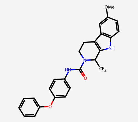 COc1ccc2[nH]c3c(c2c1)CCN(C(=O)Nc1ccc(Oc2ccccc2)cc1)C3C(F)(F)F